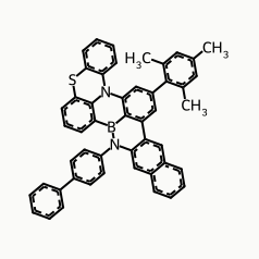 Cc1cc(C)c(-c2cc3c4c(c2)N2c5ccccc5Sc5cccc(c52)B4N(c2ccc(-c4ccccc4)cc2)c2cc4ccccc4cc2-3)c(C)c1